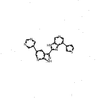 c1ncc(-c2cnc3[nH]nc(-c4nc5c(-c6ccsc6)cncc5[nH]4)c3c2)cn1